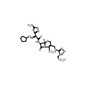 Nc1nc(C(=NOC2CCCC2)C(=O)NC2C(=O)N3C(C(=O)O)=C(CSc4nnnn4CC(=O)O)CS[C@@H]23)ns1